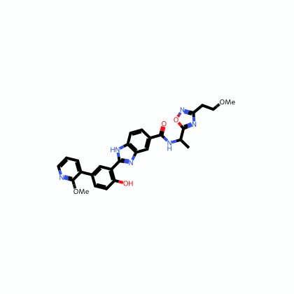 COCCc1noc(C(C)NC(=O)c2ccc3[nH]c(-c4cc(-c5cccnc5OC)ccc4O)nc3c2)n1